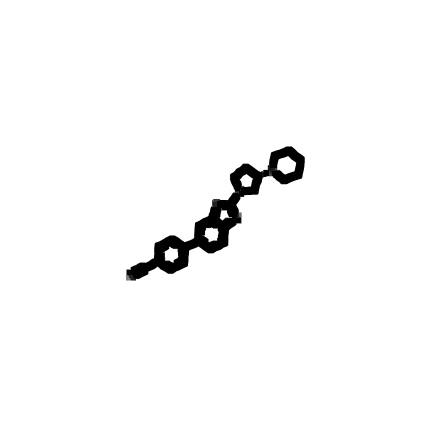 N#Cc1ccc(-c2ccc3nc(N4CC[C@H](N5CCCCC5)C4)sc3c2)cc1